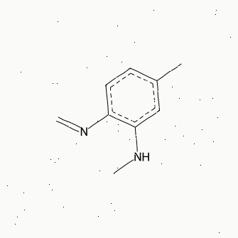 C=Nc1ccc(C)cc1NC